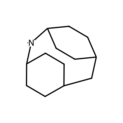 C1CC2CCC1CC1CCC(CC1)[N]2